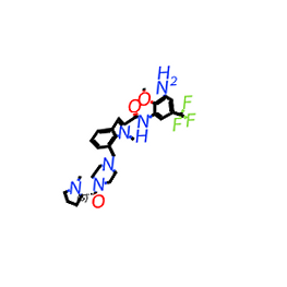 COc1c(N)cc(C(F)(F)F)cc1NC(=O)c1cc2cccc(CN3CCN(C(=O)[C@@H]4CCCN4C)CC3)c2n1C